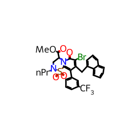 CCCN1CC(C(=O)OC)n2c(c(-c3cccc(C(F)(F)F)c3)c(Cc3cccc4ccccc34)c(Br)c2=O)S1(=O)=O